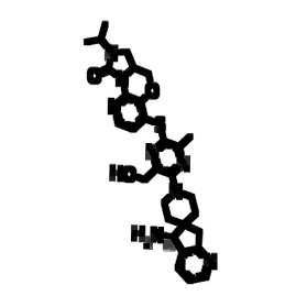 Cc1nc(N2CCC3(CC2)Cc2ncccc2[C@H]3N)c(CO)nc1Sc1ccnc2c1OCC1CN(C(C)C)C(=O)N21